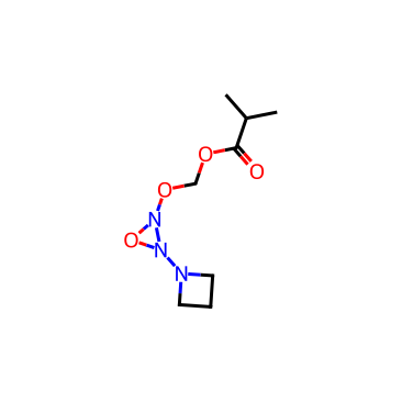 CC(C)C(=O)OCOn1on1N1CCC1